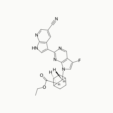 CCOC(=O)[C@@H]1C2CCC(CC2)[C@H]1n1cc(F)c2cnc(-c3c[nH]c4ncc(C#N)cc34)nc21